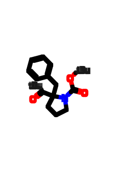 CC(C)(C)OC(=O)N1CCCC1(Cc1ccccc1)C(=O)C(C)(C)C